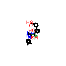 Cc1ccc(-n2nc(C)c(NC(c3cccc(C4CCCC(C(=O)O)C4)c3O)C(F)(F)F)c2O)cc1C